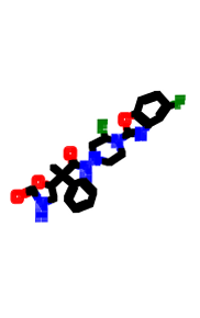 CC(C(=O)NN1CCN(c2nc3cc(F)ccc3o2)C(F)C1)(c1ccccc1)C1CNC(=O)O1